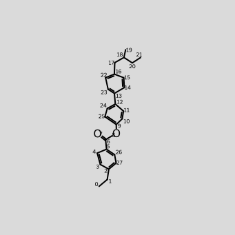 CCc1ccc(C(=O)Oc2ccc(-c3ccc(CC(C)CC)cc3)cc2)cc1